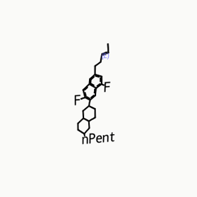 C/C=C/CCc1cc(F)c2cc(C3CCC4CC(CCCCC)CCC4C3)c(F)cc2c1